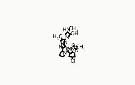 CNC1CN(c2nc3cc(C4CCCCN4C(=O)c4cc(Cl)ccc4NS(C)(=O)=O)nn3cc2C)CC1O